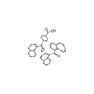 O=C(O)c1ccc(C(=O)c2cccc3ccccc23)cc1.O=C(c1cccc2ccccc12)c1cccc2ccccc12